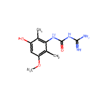 COc1cc(O)c(C)c(NC(=O)NC(=N)N)c1C